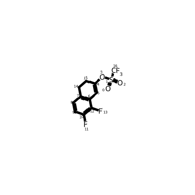 O=S(=O)(OC1=Cc2c(ccc(F)c2F)CC1)C(F)(F)F